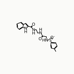 Cc1ccc([S+]([O-])NCC(=O)NCCNC(=O)c2cc3ccccc3[nH]2)cc1